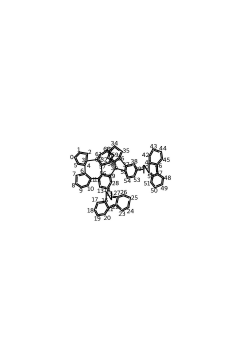 c1ccc2c(c1)-c1ccccc1-c1cc(-n3c4ccccc4c4ccccc43)cc(C3c4ccccc4-c4cc(-n5c6ccccc6c6ccccc65)ccc43)c1-c1ccccc1-2